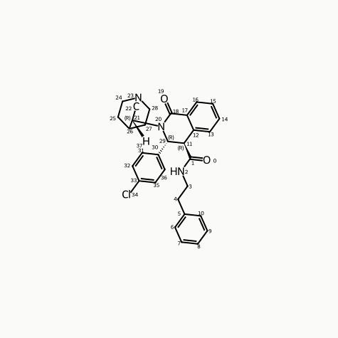 O=C(NCCc1ccccc1)[C@@H]1c2ccccc2C(=O)N([C@H]2CN3CCC2CC3)[C@H]1c1ccc(Cl)cc1